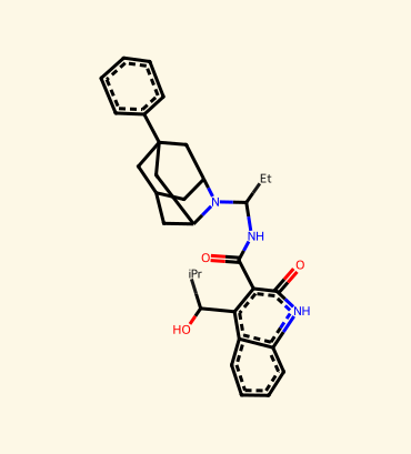 CCC(NC(=O)c1c(C(O)C(C)C)c2ccccc2[nH]c1=O)N1C2CC3CC1CC(c1ccccc1)(C3)C2